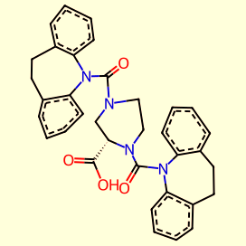 O=C(O)[C@@H]1CN(C(=O)N2c3ccccc3CCc3ccccc32)CCN1C(=O)N1c2ccccc2CCc2ccccc21